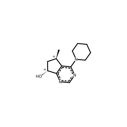 C[C@@H]1C[C@@H](O)c2ncnc(N3CCCCC3)c21